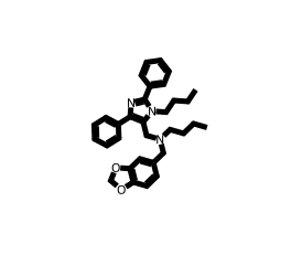 CCCCN(Cc1ccc2c(c1)OCO2)Cc1c(-c2ccccc2)nc(-c2ccccc2)n1CCCC